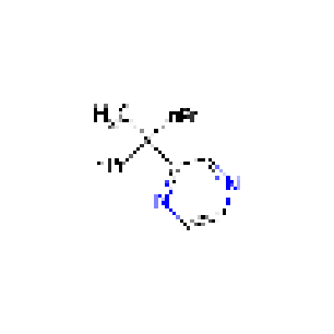 CCCC(C)(CCC)c1cnccn1